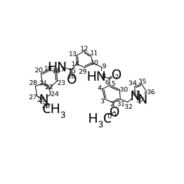 COc1ccc(C(=O)NCc2cccc(C(=O)Nc3ccc4c(c3)CN(C)CC4)c2)cc1Cn1cccn1